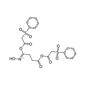 O=C(CC/C(=N/O)OC(=O)CS(=O)(=O)c1ccccc1)OC(=O)CS(=O)(=O)c1ccccc1